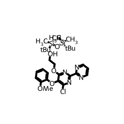 CC(C)(C)[Si](C)(C)O[Si](C)(C)C(C)(C)C.COc1ccccc1Oc1c(Cl)nc(-c2ncccn2)nc1OCCO